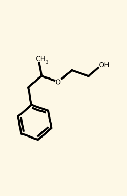 CC(Cc1ccccc1)OCCO